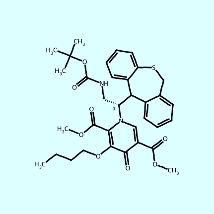 CCCCOc1c(C(=O)OC)n([C@H](CNC(=O)OC(C)(C)C)C2c3ccccc3CSc3ccccc32)cc(C(=O)OC)c1=O